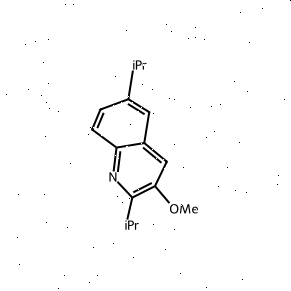 COc1cc2cc(C(C)C)ccc2nc1C(C)C